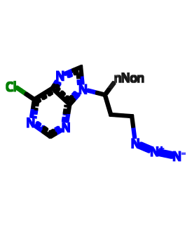 CCCCCCCCCC(CCN=[N+]=[N-])n1cnc2c(Cl)ncnc21